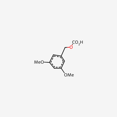 COc1cc(COC(=O)O)cc(OC)c1